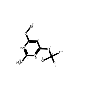 CCOc1cc(OC(F)(F)Cl)nc(N)n1